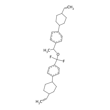 C=CC1CCC(c2ccc(C(C)OC(F)(F)c3ccc(C4CCC(C=C)CC4)cc3)cc2)CC1